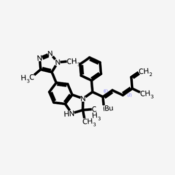 C=C/C(C)=C\C=C(/C(C)CC)C(c1ccccc1)N1c2cc(-c3c(C)nnn3C)ccc2NC1(C)C